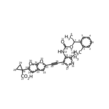 Cc1ccccc1C(C)OC(=O)Nc1c(C)nsc1C#Cc1cc2cc(C3(C(=O)O)CC3)oc2o1